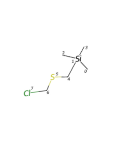 C[Si](C)(C)CSCCl